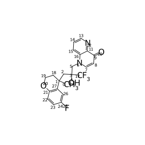 CC1(CC(O)(Cn2ccc(=O)c3ncccc32)C(F)(F)F)CCOc2ccc(F)cc21